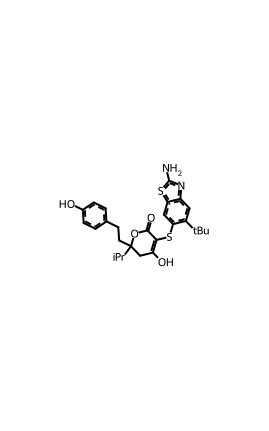 CC(C)C1(CCc2ccc(O)cc2)CC(O)=C(Sc2cc3sc(N)nc3cc2C(C)(C)C)C(=O)O1